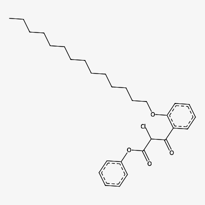 CCCCCCCCCCCCCCOc1ccccc1C(=O)C(Cl)C(=O)Oc1ccccc1